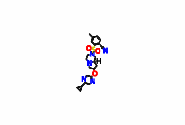 Cc1ccc(C#N)c(S(=O)(=O)N2CCN3C[C@H](Oc4cnc(C5CC5)cn4)C[C@H]3C2)c1